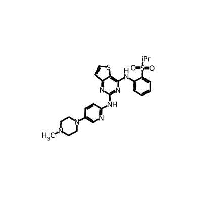 CC(C)S(=O)(=O)c1ccccc1Nc1nc(Nc2ccc(N3CCN(C)CC3)cn2)nc2ccsc12